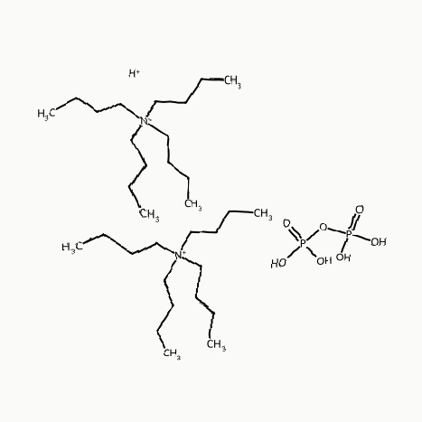 CCCC[N+](CCCC)(CCCC)CCCC.CCCC[N+](CCCC)(CCCC)CCCC.O=P(O)(O)OP(=O)(O)O.[H+]